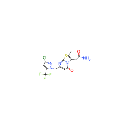 Cc1sc2nc(Cn3nc(Cl)cc3C(F)(F)F)cc(=O)n2c1CC(N)=O